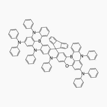 c1ccc(N(c2ccccc2)c2cc3c4c(c2)N(c2ccccc2)c2ccccc2B4c2cc4c(cc2O3)N(c2ccccc2)c2cc3c(cc2C42c4ccccc4-c4ccccc42)B2c4ccccc4N(c4ccccc4)c4cc(N(c5ccccc5)c5ccccc5)cc(c42)N3c2ccccc2)cc1